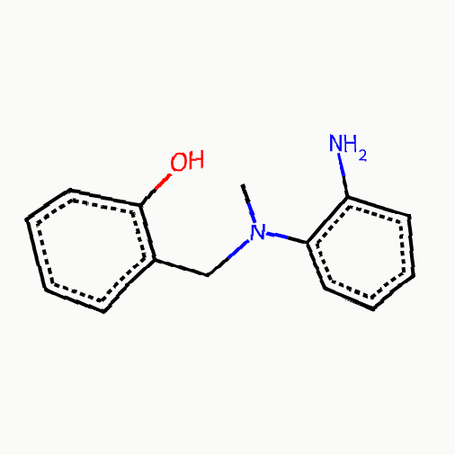 CN(Cc1ccccc1O)c1ccccc1N